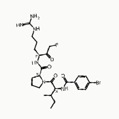 CCC(C)[C@H](NC(=O)c1ccc(Br)cc1)C(=O)N1CCC[C@H]1C(=O)N[C@@H](CCCNC(=N)N)C(=O)CF